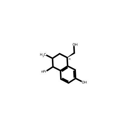 CCCC1c2ccc(O)cc2[C@H](CO)CC1C